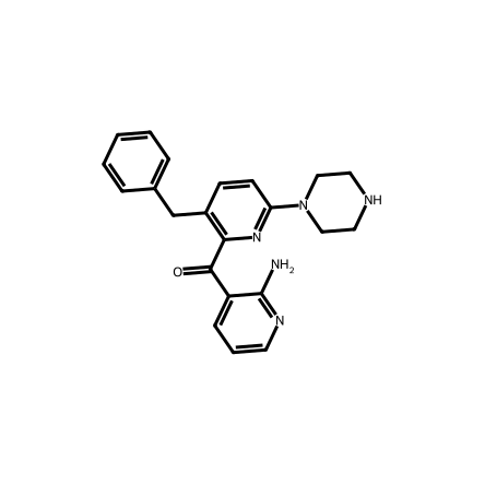 Nc1ncccc1C(=O)c1nc(N2CCNCC2)ccc1Cc1ccccc1